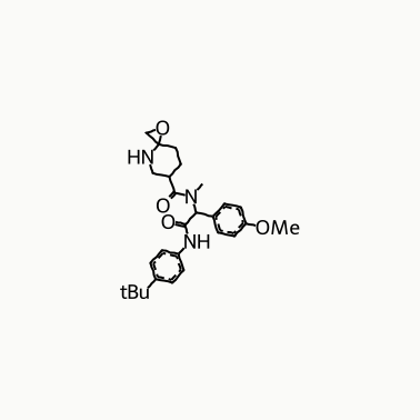 COc1ccc(C(C(=O)Nc2ccc(C(C)(C)C)cc2)N(C)C(=O)C2CCC3(CO3)NC2)cc1